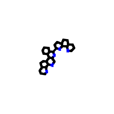 c1cnc2c(c1)ccc1ccc(-c3nc4cnc5c(ccc6cccnc65)c4c4ccccc34)nc12